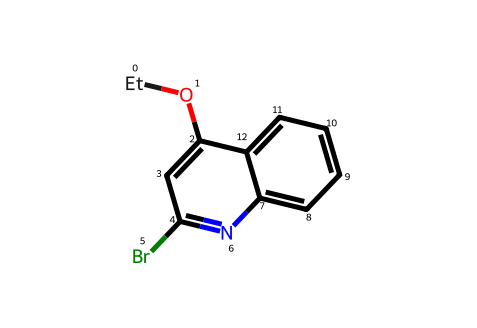 CCOc1cc(Br)nc2ccccc12